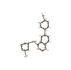 Clc1cccc(Nc2ncnc3ccc(-c4ccc(Br)nc4)cc23)c1